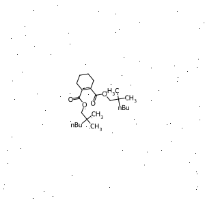 CCCCC(C)(C)COC(=O)C1=C(C(=O)OCC(C)(C)CCCC)CCCC1